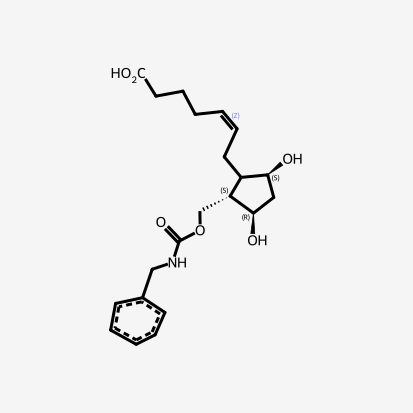 O=C(O)CCC/C=C\CC1[C@@H](COC(=O)NCc2ccccc2)[C@H](O)C[C@@H]1O